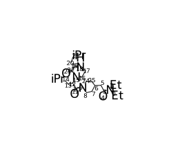 CCN(CC)C(=O)CC1CCN(C(=O)C(CC(C)C)N2CCN[C@@H](CC(C)C)C2=O)CC1